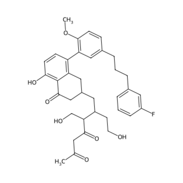 COc1ccc(CCCc2cccc(F)c2)cc1-c1ccc(O)c2c1CC(CC(CCO)C(CO)C(=O)CC(C)=O)CC2=O